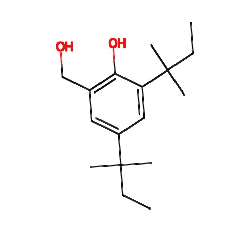 CCC(C)(C)c1cc(CO)c(O)c(C(C)(C)CC)c1